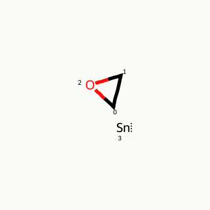 C1CO1.[Sn]